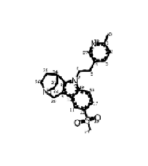 Cc1ccc(CCn2c3c(c4cc(S(C)(=O)=O)ccc42)CN2CCC3CC2)cn1